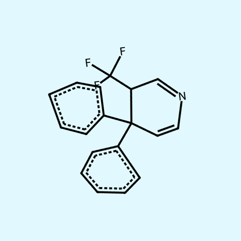 FC(F)(F)C1C=NC=CC1(c1ccccc1)c1ccccc1